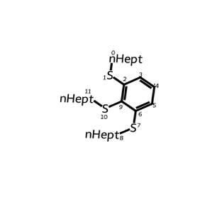 CCCCCCCSc1c[c]cc(SCCCCCCC)c1SCCCCCCC